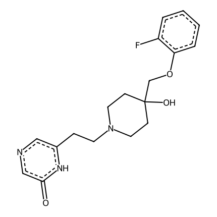 O=c1cncc(CCN2CCC(O)(COc3ccccc3F)CC2)[nH]1